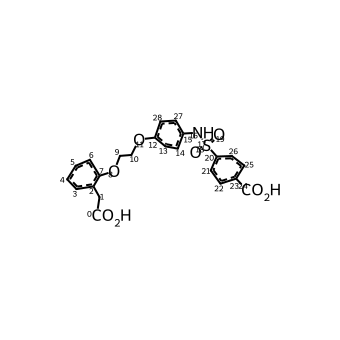 O=C(O)Cc1ccccc1OCCOc1ccc(NS(=O)(=O)c2ccc(C(=O)O)cc2)cc1